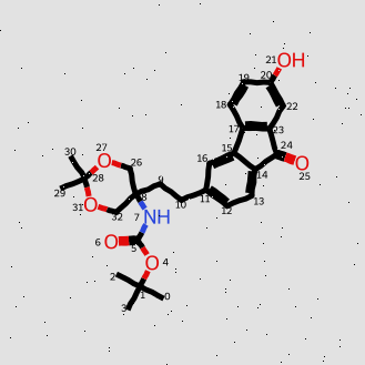 CC(C)(C)OC(=O)NC1(CCc2ccc3c(c2)-c2ccc(O)cc2C3=O)COC(C)(C)OC1